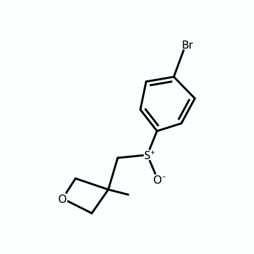 CC1(C[S+]([O-])c2ccc(Br)cc2)COC1